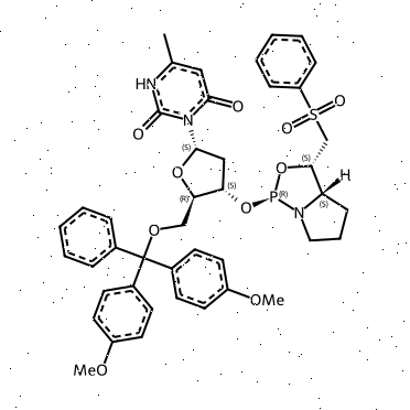 COc1ccc(C(OC[C@H]2O[C@H](n3c(=O)cc(C)[nH]c3=O)C[C@@H]2O[P@@]2O[C@H](CS(=O)(=O)c3ccccc3)[C@@H]3CCCN32)(c2ccccc2)c2ccc(OC)cc2)cc1